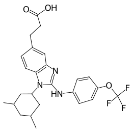 CC1CC(C)CC(n2c(Nc3ccc(OC(F)(F)F)cc3)nc3cc(CCC(=O)O)ccc32)C1